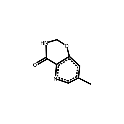 Cc1cnc2c(c1)OCNC2=O